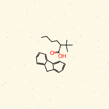 CCCCC(C(=O)O)C(C)(C)C.c1ccc2c(c1)Cc1ccccc1-2